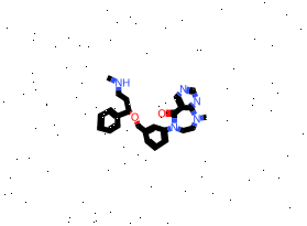 CNCCC(OCc1cccc(N2CCN(C)c3ncncc3C2=O)c1)c1ccccc1